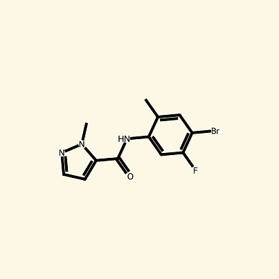 Cc1cc(Br)c(F)cc1NC(=O)c1ccnn1C